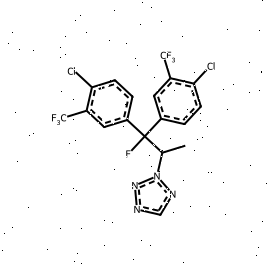 CC(n1ncnn1)C(F)(c1ccc(Cl)c(C(F)(F)F)c1)c1ccc(Cl)c(C(F)(F)F)c1